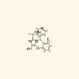 CC(=O)OC(C)c1nc(C(C)C)c(Sc2cccc(F)c2)n1Cc1ccncc1